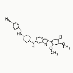 COc1cc(OC)c(-c2cn3ccc(NC4CCC(NCc5ccc(C#N)cc5)CC4)cc3n2)cc1Cl